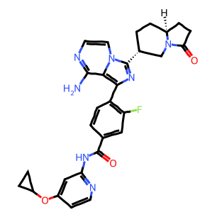 Nc1nccn2c([C@@H]3CC[C@H]4CCC(=O)N4C3)nc(-c3ccc(C(=O)Nc4cc(OC5CC5)ccn4)cc3F)c12